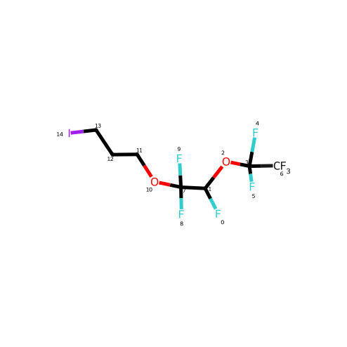 FC(OC(F)(F)C(F)(F)F)C(F)(F)OCCCI